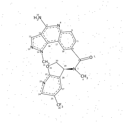 CN(C(=O)c1ccc2nc(N)c3cnn(C)c3c2c1)[C@@H]1COc2ncc(C(F)(F)F)cc21